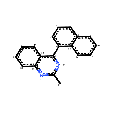 Cc1nc(-c2cccc3ccccc23)c2ccccc2n1